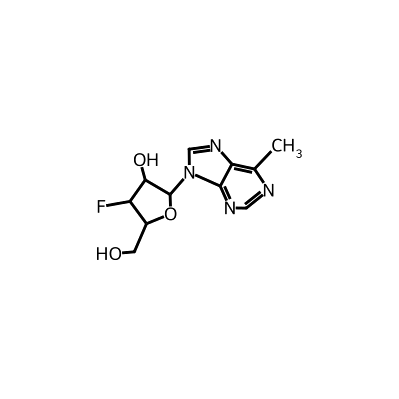 Cc1ncnc2c1ncn2C1OC(CO)C(F)C1O